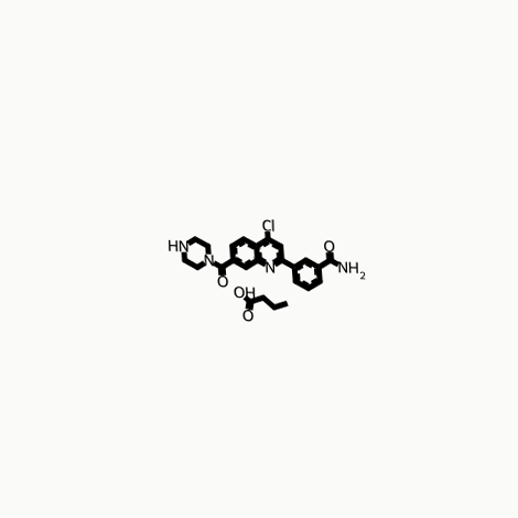 CCCC(=O)O.NC(=O)c1cccc(-c2cc(Cl)c3ccc(C(=O)N4CCNCC4)cc3n2)c1